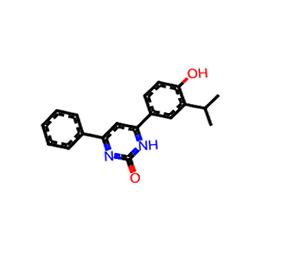 CC(C)c1cc(-c2cc(-c3ccccc3)nc(=O)[nH]2)ccc1O